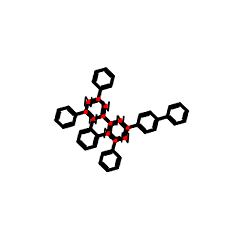 c1ccc(-c2ccc(-c3cc(-c4ccccc4-c4ccccc4-c4cccnc4-c4nc(-c5ccccc5)nc(-c5ccccc5)n4)nc(-c4ccccc4)n3)cc2)cc1